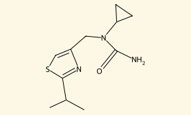 CC(C)c1nc(CN(C(N)=O)C2CC2)cs1